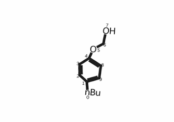 CCCCc1ccc(OCO)cc1